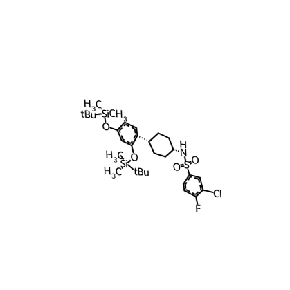 CC(C)(C)[Si](C)(C)Oc1ccc([C@H]2CC[C@@H](NS(=O)(=O)c3ccc(F)c(Cl)c3)CC2)c(O[Si](C)(C)C(C)(C)C)c1